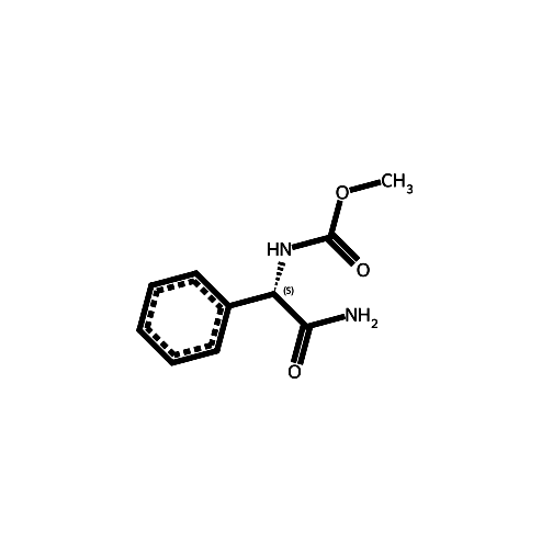 COC(=O)N[C@H](C(N)=O)c1ccccc1